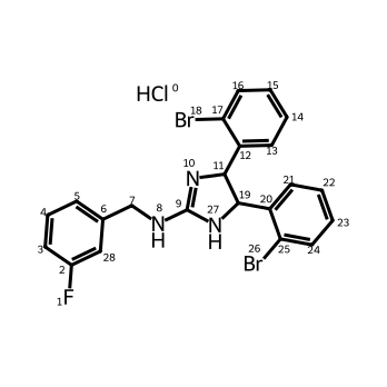 Cl.Fc1cccc(CNC2=NC(c3ccccc3Br)C(c3ccccc3Br)N2)c1